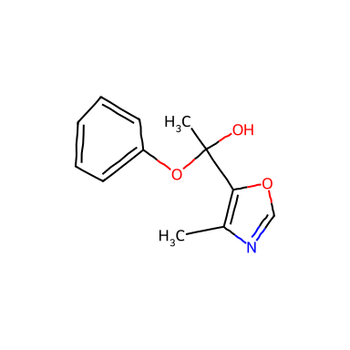 Cc1ncoc1C(C)(O)Oc1ccccc1